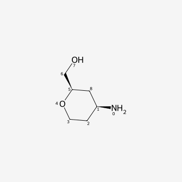 N[C@H]1CCO[C@@H](CO)C1